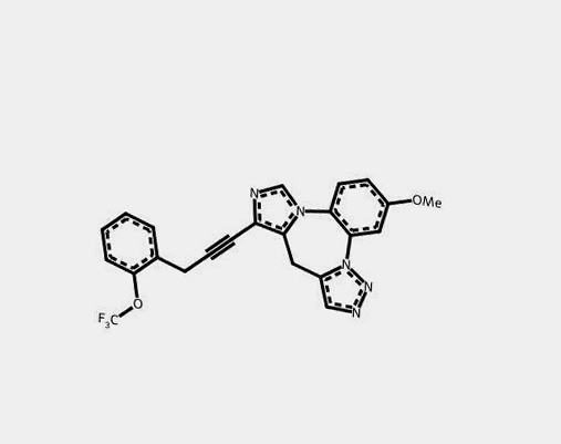 COc1ccc2c(c1)-n1nncc1Cc1c(C#CCc3ccccc3OC(F)(F)F)ncn1-2